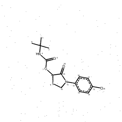 CC(C)(C)NC(=O)OC1SCN(c2ccc(Cl)cc2)C1=O